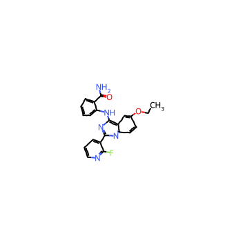 CCOc1ccc2nc(-c3cccnc3F)nc(Nc3ccccc3C(N)=O)c2c1